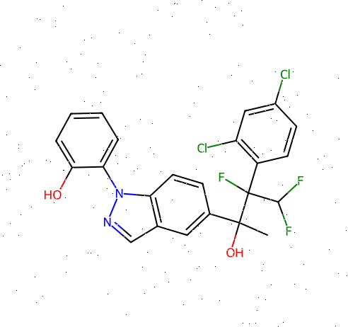 CC(O)(c1ccc2c(cnn2-c2ccccc2O)c1)C(F)(c1ccc(Cl)cc1Cl)C(F)F